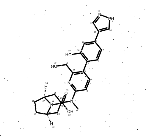 CN(c1ccc(-c2ccc(-c3cn[nH]c3)cc2O)c(CO)n1)C1C[C@H]2CC[C@@H](C1)N2C(=O)O